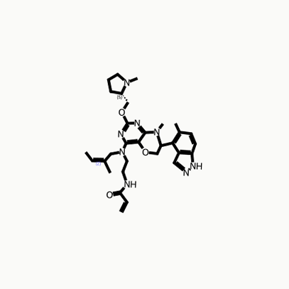 C=CC(=O)NCCN(C/C(C)=C\C)c1nc(OC[C@@H]2CCCN2C)nc2c1OCC(c1c(C)ccc3[nH]ncc13)N2C